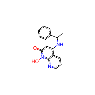 CC(Nc1cc(=O)n(O)c2ncccc12)c1ccccc1